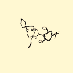 CC[Si](CC)(CC)OC(CNCC1(F)CCCC1)c1c(Cl)cc(F)cc1Cl